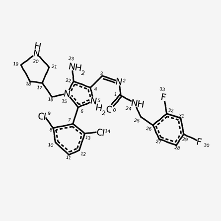 C=C(/N=C\c1nc(-c2c(Cl)cccc2Cl)n(CC2CCNC2)c1N)NCc1ccc(F)cc1F